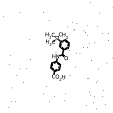 C[Si](C)(C)c1cccc(C(=O)Nc2ccc(C(=O)O)cc2)c1